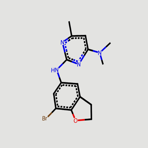 Cc1cc(N(C)C)nc(Nc2cc(Br)c3c(c2)CCO3)n1